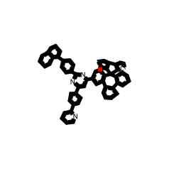 c1ccc(-c2ccc(-c3cc(-c4ccc5c(c4)-c4ccccc4-c4ccccc4C54c5ccccc5-c5ccccc54)nc(-c4ccc(-c5cccc6ccccc56)cc4)n3)cc2)nc1